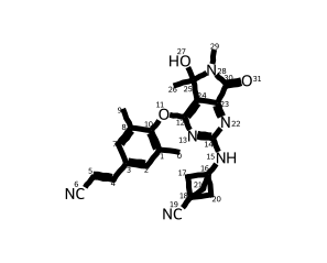 Cc1cc(/C=C/C#N)cc(C)c1Oc1nc(NC23CC(C#N)(C2)C3)nc2c1C(C)(O)N(C)C2=O